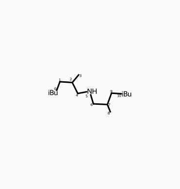 CCC(C)CC(C)CNCC(C)CC(C)CC